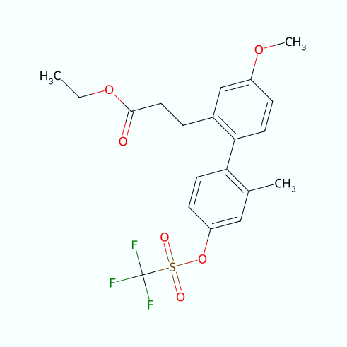 CCOC(=O)CCc1cc(OC)ccc1-c1ccc(OS(=O)(=O)C(F)(F)F)cc1C